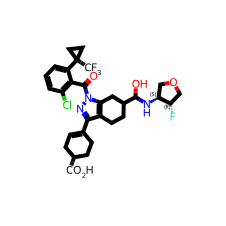 O=C(O)C1CC=C(c2nn(C(=O)c3c(Cl)cccc3C3(C(F)(F)F)CC3)c3c2CCC(C(O)N[C@H]2COC[C@@H]2F)C3)CC1